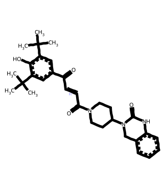 CC(C)(C)c1cc(C(=O)/C=C/C(=O)N2CCC(N3Cc4ccccc4NC3=O)CC2)cc(C(C)(C)C)c1O